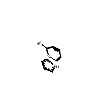 OC1C=CC=CO1.c1cc[nH]c1